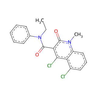 CCN(C(=O)c1c(Cl)c2c(Cl)cccc2n(C)c1=O)c1ccccc1